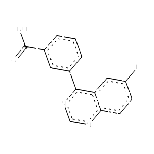 NC(=O)c1cccc(-c2ncnc3ccc(Br)cc23)c1